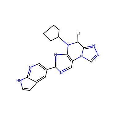 CCC1c2nncn2-c2cnc(-c3cnc4[nH]ccc4c3)nc2N1C1CCCC1